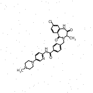 CC1C(=O)Nc2cc(Cl)ccc2C(=O)N1Cc1ccc(C(=O)Nc2ccc(N3CCN(C)CC3)cn2)cc1